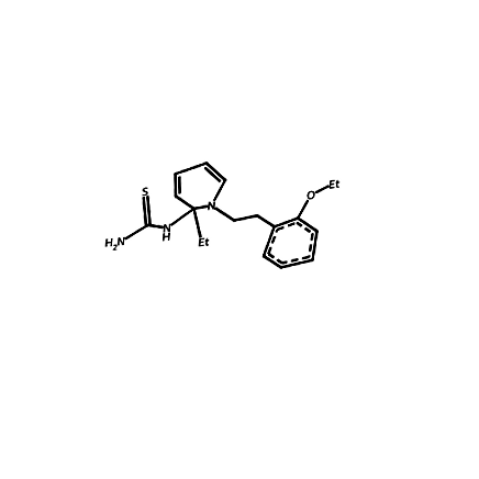 CCOc1ccccc1CCN1C=CC=CC1(CC)NC(N)=S